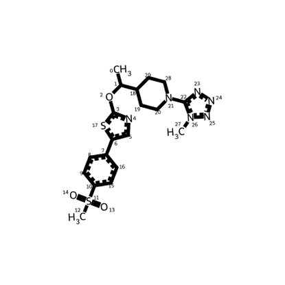 CC(Oc1ncc(-c2ccc(S(C)(=O)=O)cc2)s1)C1CCN(c2nnnn2C)CC1